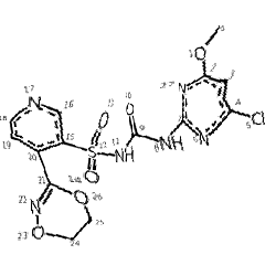 COc1cc(Cl)nc(NC(=O)NS(=O)(=O)c2cnccc2C2=NOCCO2)n1